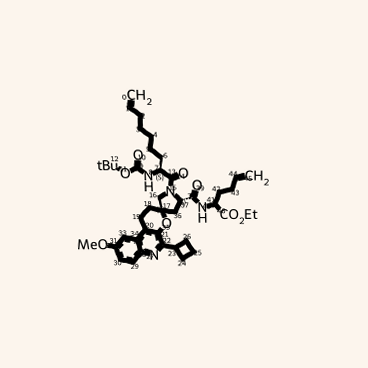 C=CCCCCC[C@H](NC(=O)OC(C)(C)C)C(=O)N1C[C@@]2(CCc3c(c(C4CCC4)nc4ccc(OC)cc34)O2)C[C@H]1C(=O)NC(CCC=C)C(=O)OCC